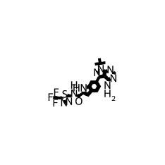 CC(C)(C)n1nc(-c2ccc3cc(C(=O)Nc4nnc(C(F)(F)F)s4)[nH]c3c2)c2c(N)ncnc21